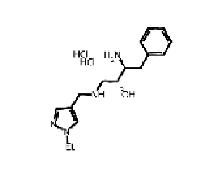 CCn1cc(CNC[C@@H](O)[C@@H](N)Cc2ccccc2)cn1.Cl.Cl